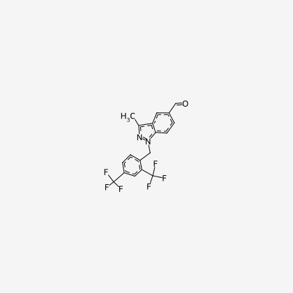 Cc1nn(Cc2ccc(C(F)(F)F)cc2C(F)(F)F)c2ccc(C=O)cc12